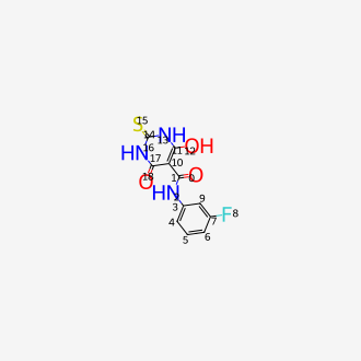 O=C(Nc1cccc(F)c1)c1c(O)[nH]c(=S)[nH]c1=O